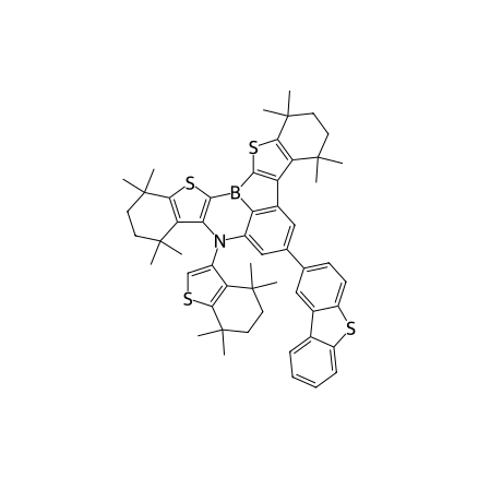 CC1(C)CCC(C)(C)c2c(N3c4cc(-c5ccc6sc7ccccc7c6c5)cc5c4B(c4sc6c(c4-5)C(C)(C)CCC6(C)C)c4sc5c(c43)C(C)(C)CCC5(C)C)csc21